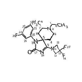 CCN1CC[C@@]2(C[C@@H]1C)C(N1CC(F)(F)C1)=NC(=O)N2c1cccc(F)c1